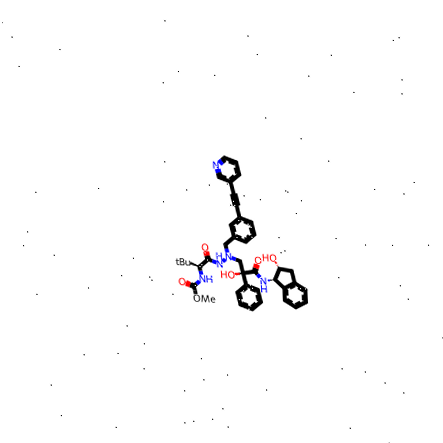 COC(=O)N[C@H](C(=O)NN(Cc1cccc(C#Cc2cccnc2)c1)C[C@](O)(C(=O)N[C@H]1c2ccccc2C[C@H]1O)c1ccccc1)C(C)(C)C